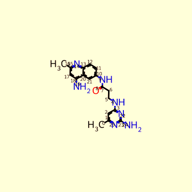 Cc1cc(NCCC(=O)Nc2ccc3nc(C)cc(N)c3c2)nc(N)n1